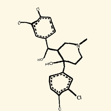 CN1CCC(O)(c2ccc(Cl)c(Cl)c2)C(C(O)c2ccc(Cl)c(Cl)c2)C1